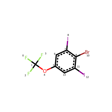 FC(F)(F)Oc1cc(I)c(Br)c(I)c1